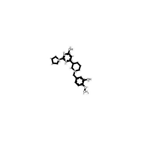 COc1ccc(CN2CCCC(c3cc(O)nc(N4CCCC4)n3)C2)cc1O